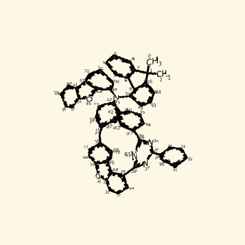 CC1(C)c2ccccc2-c2c(N(c3ccc(-c4ccc5oc6cccc(-c7nc(-c8ccccc8)nc(-c8ccccc8)n7)c6c5c4)cc3)c3cccc4c3oc3ccccc34)cccc21